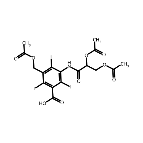 CC(=O)OCc1c(I)c(NC(=O)C(COC(C)=O)OC(C)=O)c(I)c(C(=O)O)c1I